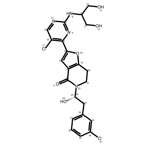 O=C1c2cc(-c3nc(NC(CO)CO)ncc3Cl)oc2CCN1[C@@H](O)[CH]c1cccc(Cl)c1